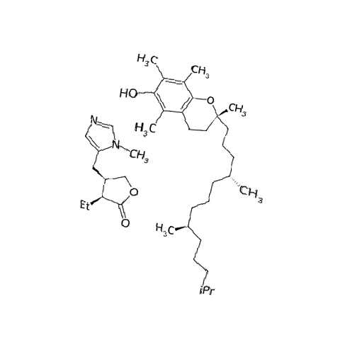 CC[C@@H]1C(=O)OC[C@@H]1Cc1cncn1C.Cc1c(C)c2c(c(C)c1O)CC[C@@](C)(CCC[C@H](C)CCC[C@H](C)CCCC(C)C)O2